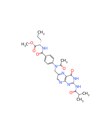 CCC[C@H](NC(=O)c1ccc(N(Cc2cnc3nc(NC(=O)C(C)C)[nH]c(=O)c3n2)C(C)=O)cc1)C(=O)OC